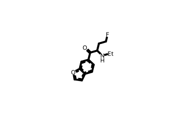 CCNC(CCF)C(=O)c1ccc2ccoc2c1